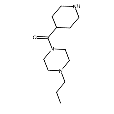 CCCN1CCN(C(=O)C2CCNCC2)CC1